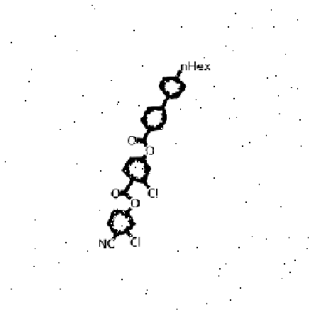 CCCCCCc1ccc(-c2ccc(C(=O)Oc3ccc(C(=O)Oc4ccc(C#N)c(Cl)c4)c(Cl)c3)cc2)cc1